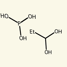 CCC(O)O.OP(O)O